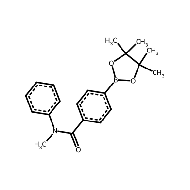 CN(C(=O)c1ccc(B2OC(C)(C)C(C)(C)O2)cc1)c1ccccc1